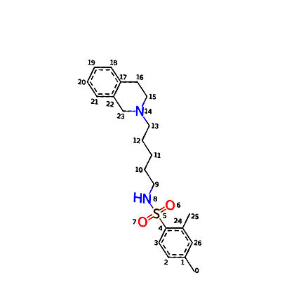 Cc1ccc(S(=O)(=O)NCCCCCN2CCc3ccccc3C2)c(C)c1